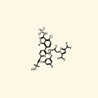 Cn1nc(NS(C)(=O)=O)c2c(Cl)ccc(-c3ccc(C#CC(C)(C)O)nc3[C@H](Cc3cc(F)cc(F)c3)NC(=O)Cn3nc(C(F)F)cc3C(F)F)c21